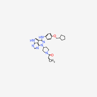 C=CC(=O)N1CCC(N2N=C(Nc3ccc(OCC4CCCC4)cc3)c3c[nH]c4ncnc2c34)CC1